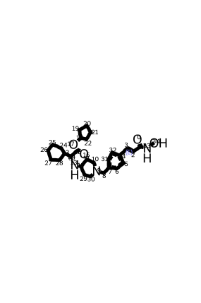 O=C(/C=C/c1ccc(CN2CCC(N[C@H](C(=O)OC3CCCC3)C3CCCCC3)CC2)cc1)NO